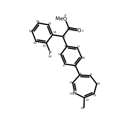 COC(=O)C(c1ccc(C2=CCC=C(C)N=C2)cc1)c1ccccc1F